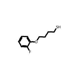 Fc1ccccc1OCCCCS